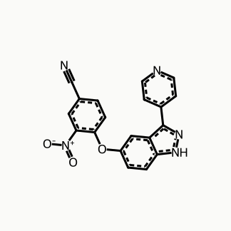 N#Cc1ccc(Oc2ccc3[nH]nc(-c4ccncc4)c3c2)c([N+](=O)[O-])c1